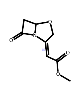 COC(=O)/C=C1\COC2CC(=O)N12